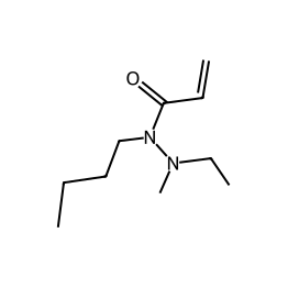 C=CC(=O)N(CCCC)N(C)CC